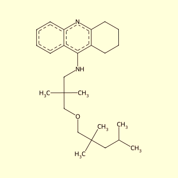 CC(C)CC(C)(C)COCC(C)(C)CNc1c2c(nc3ccccc13)CCCC2